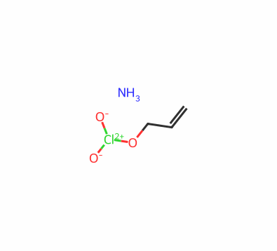 C=CCO[Cl+2]([O-])[O-].N